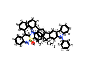 CC1(C)c2cc3c(cc2-c2cc4c5ccccc5n(-c5ccccc5)c4cc21)c1ccccc1n3C1=C(c2ccccc2)c2ccccc2N=S1(=O)c1ccccc1